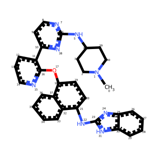 CN1CCC(Nc2nccc(-c3cccnc3Oc3ccc(Nc4nc5ccccc5[nH]4)c4ccccc34)n2)CC1